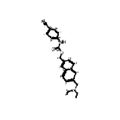 CCN(CC)Cc1ccc2cc(COC(=O)Nc3ccc(C#N)cc3)ccc2c1